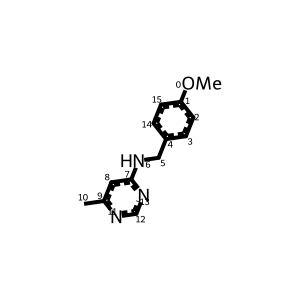 COc1ccc(CNc2cc(C)ncn2)cc1